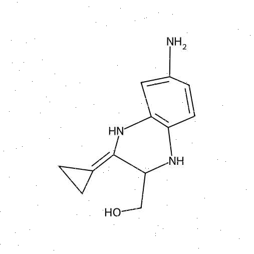 Nc1ccc2c(c1)NC(=C1CC1)C(CO)N2